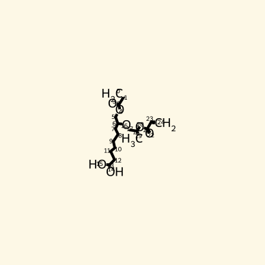 C=CC(=O)OCC(CCCCCCC(O)O)OCC(C)OC(=O)C=C